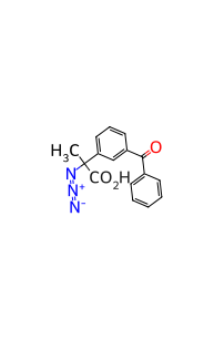 CC(N=[N+]=[N-])(C(=O)O)c1cccc(C(=O)c2ccccc2)c1